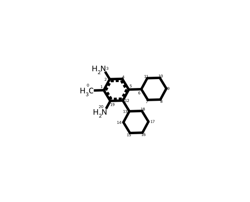 Cc1c(N)cc(C2CCCCC2)c(C2CCCCC2)c1N